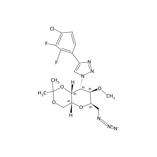 CO[C@@H]1[C@@H](n2cc(-c3ccc(Cl)c(F)c3F)nn2)[C@H]2OC(C)(C)OC[C@H]2O[C@@H]1CN=[N+]=[N-]